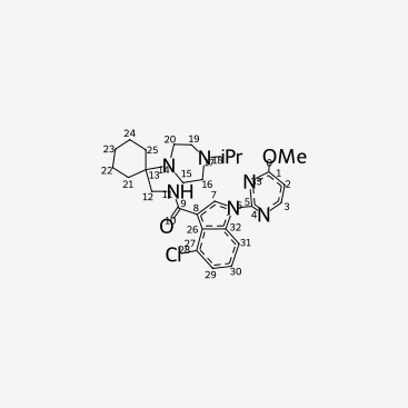 COc1ccnc(-n2cc(C(=O)NCC3(N4CCN(C(C)C)CC4)CCCCC3)c3c(Cl)cccc32)n1